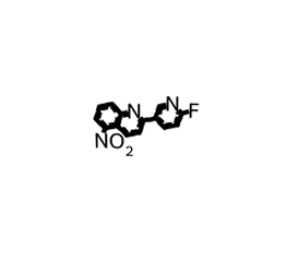 O=[N+]([O-])c1cccc2nc(-c3ccc(F)nc3)ccc12